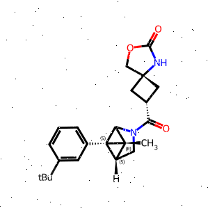 CC(C)(C)c1cccc([C@@]23C4N(C(=O)[C@H]5C[C@]6(COC(=O)N6)C5)C[C@H]2[C@@]43C)c1